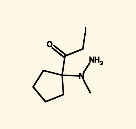 CN(N)C1(C(=O)CI)CCCC1